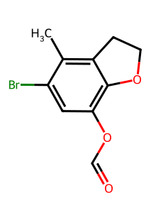 Cc1c(Br)cc(OC=O)c2c1CCO2